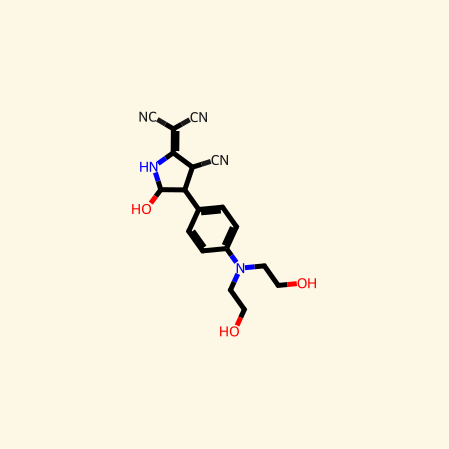 N#CC(C#N)=C1NC(O)C(c2ccc(N(CCO)CCO)cc2)C1C#N